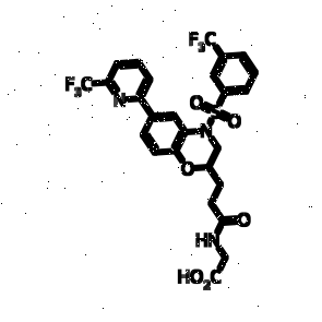 O=C(O)CNC(=O)CCC1CN(S(=O)(=O)c2cccc(C(F)(F)F)c2)c2cc(-c3cccc(C(F)(F)F)n3)ccc2O1